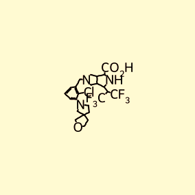 O=C(O)C1NC(C(C(F)(F)F)C(F)(F)F)C2CN(Cc3cccc(N4CCC5(CCOC5)C4)c3Cl)CC12